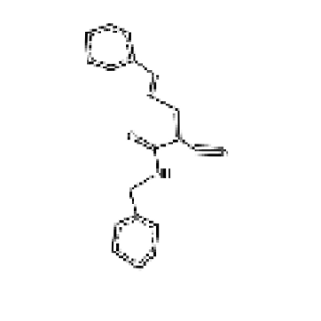 N#CC(=C/C=C/c1ccccc1)C(=O)NCc1ccccc1